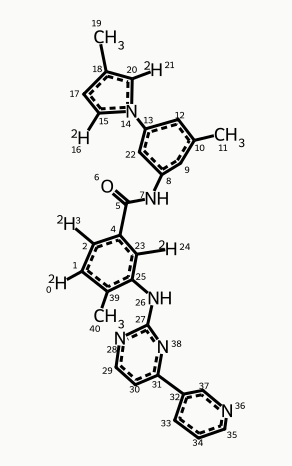 [2H]c1c([2H])c(C(=O)Nc2cc(C)cc(-n3c([2H])cc(C)c3[2H])c2)c([2H])c(Nc2nccc(-c3cccnc3)n2)c1C